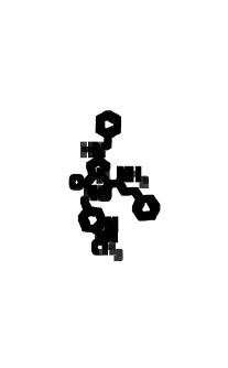 Cn1nnc2cc(CNC(=O)C3CC(NCc4ccccc4)CN3C(=O)C(N)CCc3ccccc3)ccc21